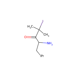 CC(C)CC(N)C(=O)C(C)(C)I